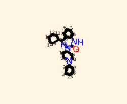 O=C1Nc2ccccc2C(C2CCCCC2)=NN1C1CCN(c2ccccc2)CC1